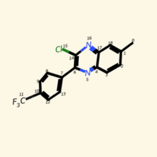 Cc1ccc2nc(-c3ccc(C(F)(F)F)cc3)c(Cl)nc2c1